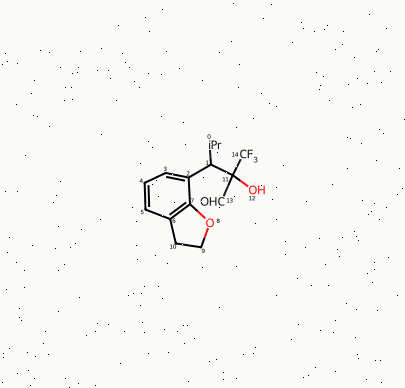 CC(C)C(c1cccc2c1OCC2)C(O)(C=O)C(F)(F)F